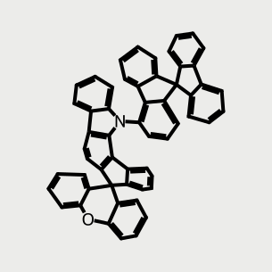 c1ccc2c(c1)Oc1ccccc1C21c2ccccc2-c2c1ccc1c3ccccc3n(-c3cccc4c3-c3ccccc3C43c4ccccc4-c4ccccc43)c21